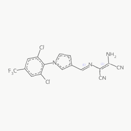 N#C/C(N)=C(C#N)/N=C/c1ccn(-c2c(Cl)cc(C(F)(F)F)cc2Cl)c1